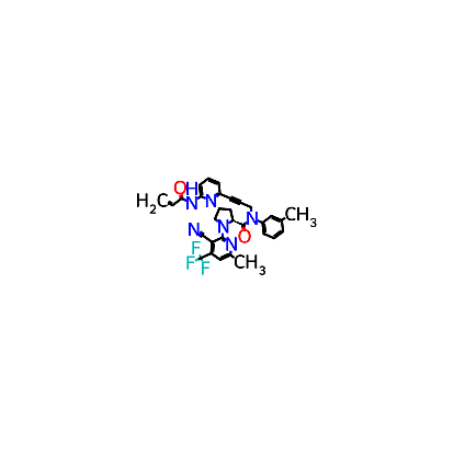 C=CC(=O)Nc1cccc(C#CCN(C(=O)[C@@H]2CCCN2c2nc(C)cc(C(F)(F)F)c2C#N)c2cccc(C)c2)n1